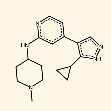 CN1CCC(Nc2cc(-c3cn[nH]c3C3CC3)ccn2)CC1